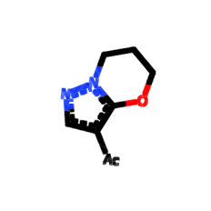 CC(=O)c1cnn2c1OCCC2